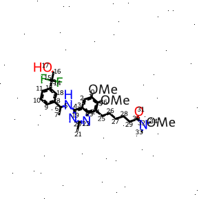 COc1cc2c(NC(C)c3cccc(C(F)(F)CO)c3)nc(C)nc2c(CCCCCC(=O)N(C)OC)c1OC